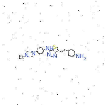 CCN1CCN(c2ccc(Nc3ncnc4c(C=Cc5ccc(N)cc5)csc34)cc2)CC1